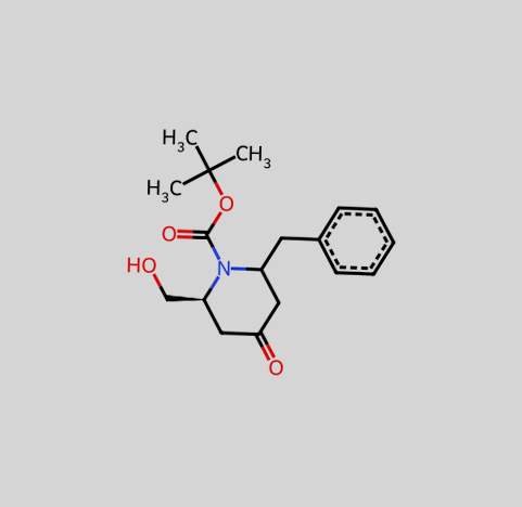 CC(C)(C)OC(=O)N1C(Cc2ccccc2)CC(=O)C[C@H]1CO